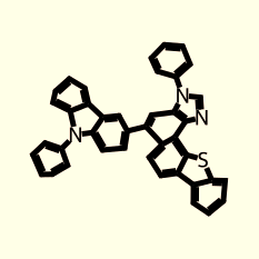 c1ccc(-n2cnc3c4c(ccc5c6ccccc6sc54)c(-c4ccc5c(c4)c4ccccc4n5-c4ccccc4)cc32)cc1